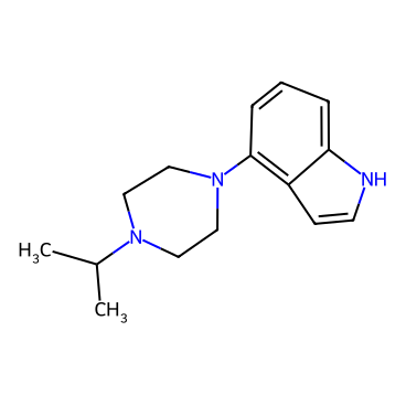 CC(C)N1CCN(c2cccc3[nH]ccc23)CC1